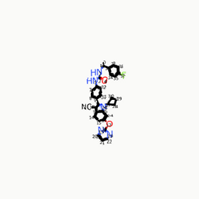 C[C@H](NC(=O)Nc1ccc(-c2c(C#N)c3ccc(Oc4ncccn4)cc3n2C2CCC2)cc1)c1ccc(F)cc1